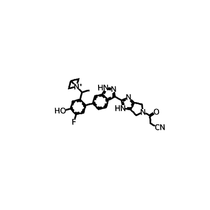 CC(c1cc(O)c(F)cc1-c1ccc2c(-c3nc4c([nH]3)CN(C(=O)CC#N)C4)n[nH]c2c1)[N+]12CC1C2